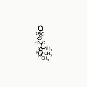 Cc1nnc2sc(C(=O)NC3CN(S(=O)(=O)c4ccccc4)C3)c(N)c2c1C